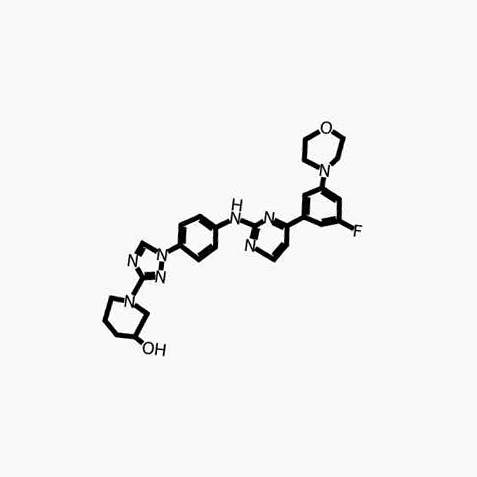 OC1CCCN(c2ncn(-c3ccc(Nc4nccc(-c5cc(F)cc(N6CCOCC6)c5)n4)cc3)n2)C1